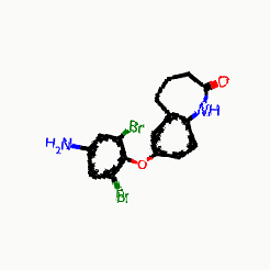 Nc1cc(Br)c(Oc2ccc3c(c2)CCCC(=O)N3)c(Br)c1